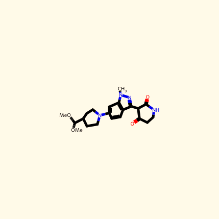 COC(OC)C1CCN(c2ccc3c(C4C(=O)CCNC4=O)nn(C)c3c2)CC1